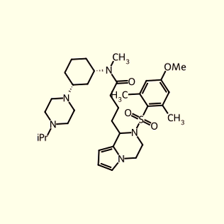 COc1cc(C)c(S(=O)(=O)N2CCn3cccc3C2CCCC(=O)N(C)[C@H]2CCC[C@@H](N3CCN(C(C)C)CC3)C2)c(C)c1